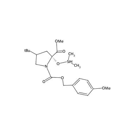 COC(=O)[C@]1(O[SiH](C)C)CC(C(C)(C)C)CN1C(=O)OCc1ccc(OC)cc1